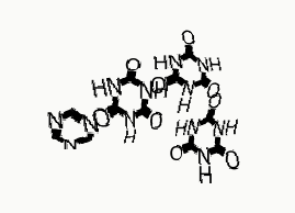 O=c1[nH]c(=O)[nH]c(=O)[nH]1.O=c1[nH]c(=O)[nH]c(=O)[nH]1.O=c1[nH]c(=O)[nH]c(=O)[nH]1.c1ncncn1